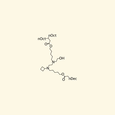 CCCCCCCCCCCC(=O)OCCCCCN(CCN(CCO)CCCCCOC(=O)CC(CCCCCCCC)CCCCCCCC)C1CCC1